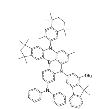 Cc1cc2c3c(c1)N(c1cc4c(cc1C)C(C)(C)CCC4(C)C)c1cc4c(cc1B3c1ccc(N(c3ccccc3)c3ccccc3)cc1N2c1cc2c(c(C(C)(C)C)c1)C(C)(C)c1ccccc1-2)C(C)(C)CC4(C)C